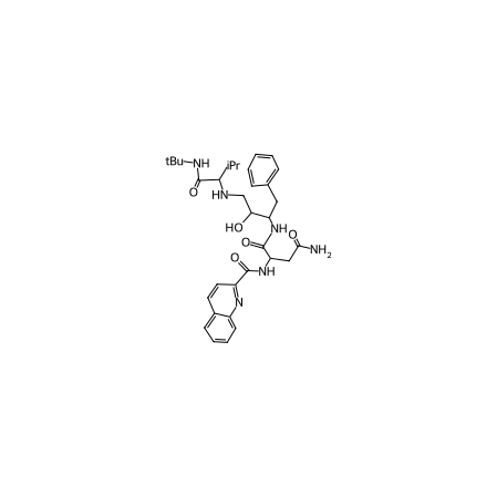 CC(C)C(NCC(O)C(Cc1ccccc1)NC(=O)C(CC(N)=O)NC(=O)c1ccc2ccccc2n1)C(=O)NC(C)(C)C